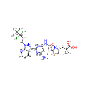 CC1(c2nc(CC3(C(=O)O)CC3)cs2)C(=O)Nc2nc(-c3nn(CCC(F)(F)C(F)(F)F)c4ncccc34)nc(N)c21